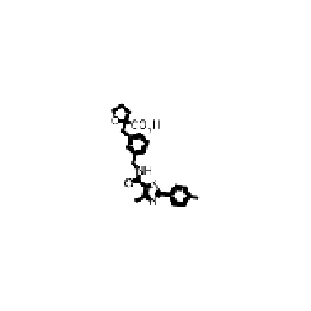 Cc1ccc(-c2nc(C)c(C(=O)NCc3cccc(CC4(C(=O)O)CCCO4)c3)s2)cc1